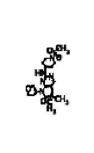 CC1(C)Cc2cnc(NC3CCN(S(C)(=O)=O)CC3)nc2N(C2CCOC2)C1=O